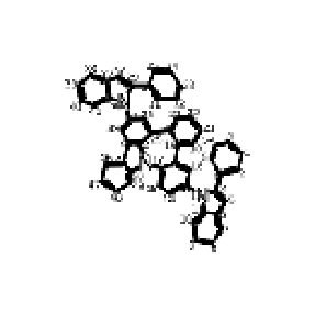 c1ccc(-c2cc3ccccc3n2-c2ccc3c(c2)-c2ccccc2-c2cc(-n4c(-c5ccccc5)cc5ccccc54)cc4c5ccccc5n-3c24)cc1